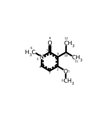 COc1ccn(C)c(=O)c1C(C)C